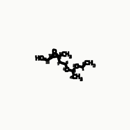 CCOC(C)OCCC1(C)OC1CO